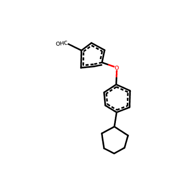 O=Cc1ccc(Oc2ccc(C3CCCCC3)cc2)cc1